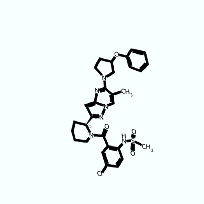 Cc1cn2nc([C@@H]3CCCCN3C(=O)c3cc(Cl)ccc3NS(C)(=O)=O)cc2nc1N1CCC(Oc2ccccc2)C1